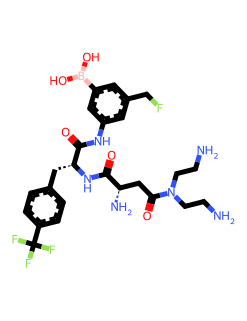 NCCN(CCN)C(=O)C[C@H](N)C(=O)N[C@H](Cc1ccc(C(F)(F)F)cc1)C(=O)Nc1cc(CF)cc(B(O)O)c1